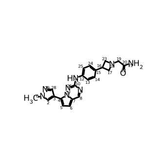 Cn1cc(-c2ccc3cnc(Nc4ccc(C5CN(CC(N)=O)C5)cc4)nn23)cn1